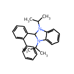 CC(C)N1c2ccccc2N(C(C)C)C1c1ccccc1-c1ccccc1